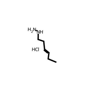 CCC=CCCNN.Cl